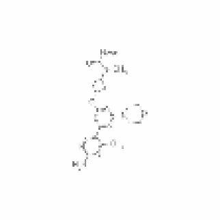 CNC(=O)N(C)[C@H]1C[C@H](Oc2cc(-c3cnc(N)nc3C)nc(N3CCOCC3)n2)C1